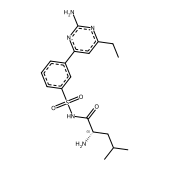 CCc1cc(-c2cccc(S(=O)(=O)NC(=O)[C@@H](N)CC(C)C)c2)nc(N)n1